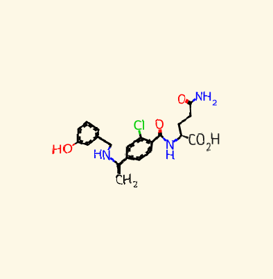 C=C(NCc1cccc(O)c1)c1ccc(C(=O)N[C@@H](CCC(N)=O)C(=O)O)c(Cl)c1